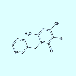 Cc1cc(O)c(Br)c(=O)n1Cc1cccnc1